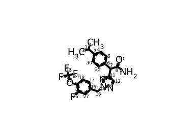 CC(C)c1ccc(C(C(N)=O)c2cnn(Cc3ccc(OC(F)(F)F)c(F)c3)n2)cc1